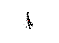 Nc1nc2c(c(=O)n1C(Cc1ccccc1)c1ccccc1)CCN(C(=O)Oc1ccc(OC(F)(F)F)cc1)C2